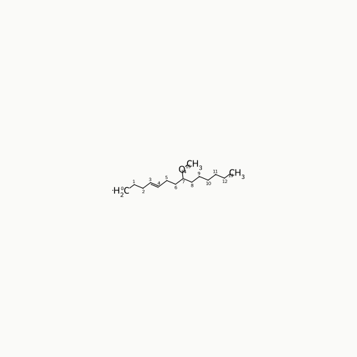 [CH2]CCC=CCCC(CCCCCC)OC